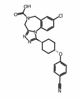 N#Cc1ccc(O[C@H]2CC[C@H](c3nnc4n3-c3ccc(Cl)cc3CN(C(=O)O)C4)CC2)cc1